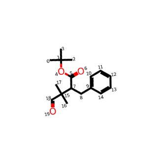 CC(C)(C)OC(=O)C(Cc1ccccc1)C(C)(C)[C]=O